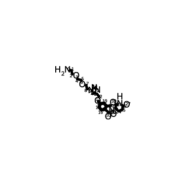 NCCOCCOCCn1cc(COc2ccc3c(c2)C[N+]([O-])(C2CCC(=O)NC2=O)C3=O)nn1